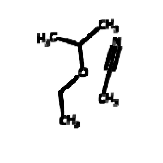 CC#N.CCOC(C)C